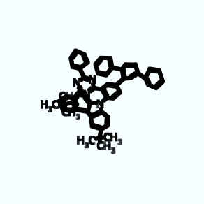 CC(C)(C)c1ccc2c(c1)c1cc(C(C)(C)C)ccc1n2-c1ccc(-c2cc(-c3ccccc3)ccc2-c2ccccc2)cc1-c1nc(-c2ccccc2)nc(-c2ccccc2)n1